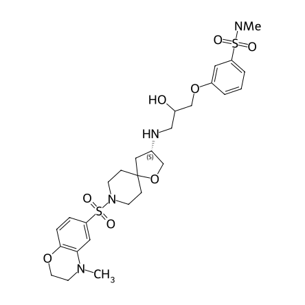 CNS(=O)(=O)c1cccc(OCC(O)CN[C@@H]2COC3(CCN(S(=O)(=O)c4ccc5c(c4)N(C)CCO5)CC3)C2)c1